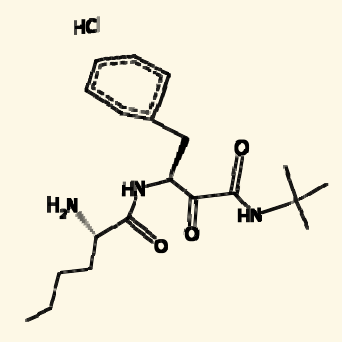 CCCC[C@H](N)C(=O)N[C@@H](Cc1ccccc1)C(=O)C(=O)NC(C)(C)C.Cl